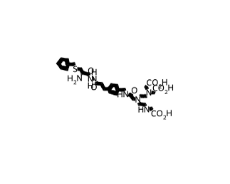 N[C@H](CSCc1ccccc1)C(=O)NNC(=O)CCc1ccc(CNC(=O)CN(CCNCC(=O)O)CCN(CC(=O)O)CC(=O)O)cc1